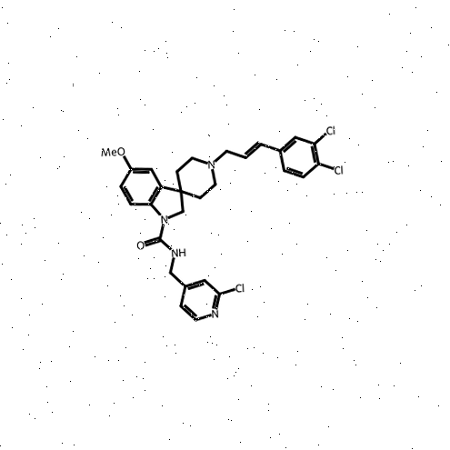 COc1ccc2c(c1)C1(CCN(C/C=C/c3ccc(Cl)c(Cl)c3)CC1)CN2C(=O)NCc1ccnc(Cl)c1